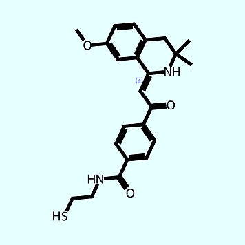 COc1ccc2c(c1)/C(=C/C(=O)c1ccc(C(=O)NCCS)cc1)NC(C)(C)C2